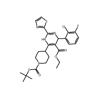 CCOC(=O)C1=C(C2CCN(C(=O)OC(C)(C)C)CC2)NC(c2nccs2)=NC1c1cccc(F)c1Cl